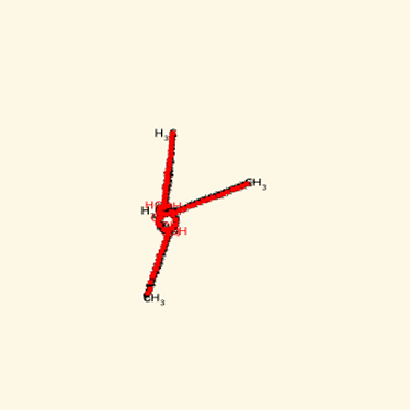 CCCCCCCCCCCCCCCCCCCCCCCCCCCCCCCCCC1(O)CC(C)(C)C2C3C(\C=C/C=C/C=C\C(O)C(CCCCCCCCCCCCCCCCCCCCCCCCCCCCCCC)C(O)C/C=C(CO)/C=C/C(=O)OC3c3ccc(O)cc3)C(CCCCCCCCCCCCCCCCCCCCCCCCCCCCCCCC)=CC21